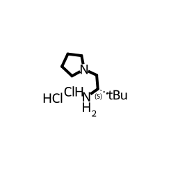 CC(C)(C)[C@H](N)CN1CCCC1.Cl.Cl